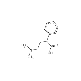 CN(C)CCC(C(=O)O)c1ccccc1